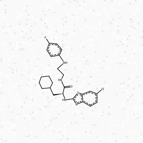 O=C(NCCNc1ccc(F)cc1)[C@H](CC1CCCCC1)Nc1nc2ccc(Cl)cc2s1